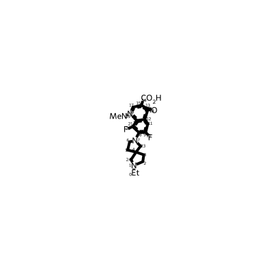 CCN1CCC2(CCN(c3c(F)cc4c(=O)c(C(=O)O)cn(NC)c4c3F)C2)C1